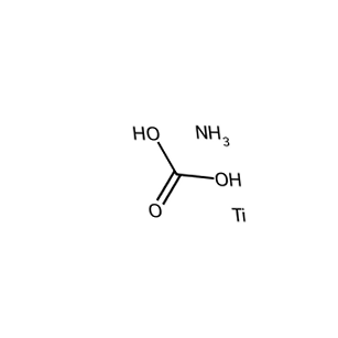 N.O=C(O)O.[Ti]